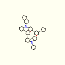 c1ccc(-c2cccc(-c3ccc(N(c4ccc5ccccc5c4)c4ccccc4-c4cccc(-c5cccc6c5c5ccccc5n6-c5ccccc5)c4)cc3)c2)cc1